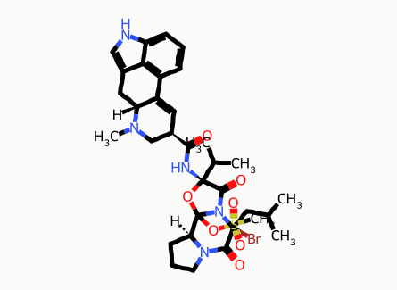 CC(C)CC1(Br)C(=O)N2CCC[C@H]2C2(OS(C)(=O)=O)O[C@](NC(=O)[C@@H]3C=C4c5cccc6[nH]cc(c56)C[C@H]4N(C)C3)(C(C)C)C(=O)N12